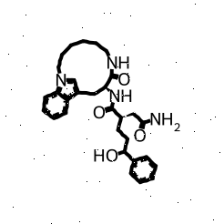 NC(=O)C[C@@H](CCC(O)c1ccccc1)C(=O)N[C@H]1Cc2cn(c3ccccc23)CCCCCCNC1=O